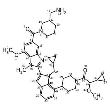 COc1cc(C(=O)N2CCC[C@@H](CN)C2)cc2nc(-c3cc4cccc(C5CCN(C(=O)C(OC)C6CC6)CC5)c4n3CC3CC3)n(C)c12